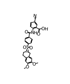 COc1cc2c(cc1OC)CN(S(=O)(=O)c1ccc(C(=O)Nc3ccc(C#N)cc3C(=O)O)cc1)CC2